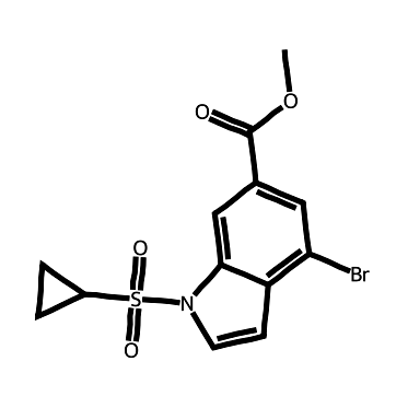 COC(=O)c1cc(Br)c2ccn(S(=O)(=O)C3CC3)c2c1